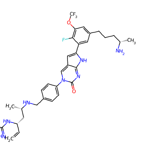 C=C[C@@H](C[C@H](C)NCc1ccc(-n2cc3cc(-c4cc(CCC[C@H](C)N)cc(OC(F)(F)F)c4F)[nH]c3nc2=O)cc1)NC(=N)N